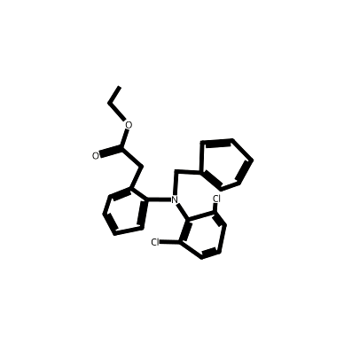 CCOC(=O)Cc1ccccc1N(Cc1ccccc1)c1c(Cl)cccc1Cl